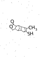 CC1C(S)C2CC1C1C3CC(C4COC(=O)C43)C21